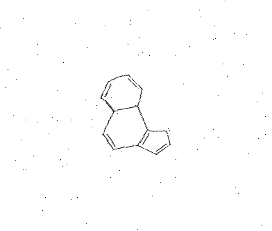 [CH]1C=CC2=C1C1C=CC=CC1C=C2